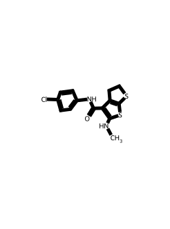 CNc1sc2c(c1C(=O)Nc1ccc(Cl)cc1)CCS2